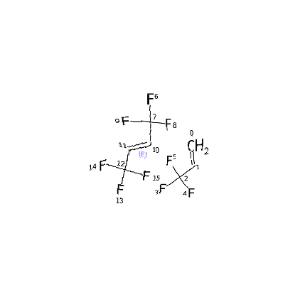 C=CC(F)(F)F.FC(F)(F)/C=C/C(F)(F)F